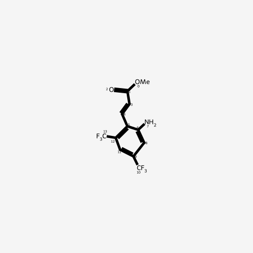 COC(=O)C=Cc1c(N)cc(C(F)(F)F)cc1C(F)(F)F